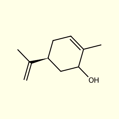 C=C(C)[C@H]1CC=C(C)C(O)C1